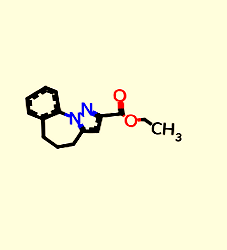 CCOC(=O)c1cc2n(n1)-c1ccccc1CCC2